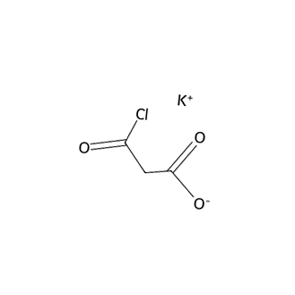 O=C([O-])CC(=O)Cl.[K+]